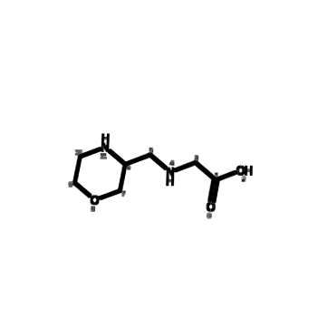 O=C(O)CNCC1COCCN1